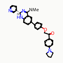 CNC1=N[C@@H](c2cccnc2)Nc2ccc(-c3ccc(OCC(=O)c4ccc(N5CCCC5)cc4)cc3)cc21